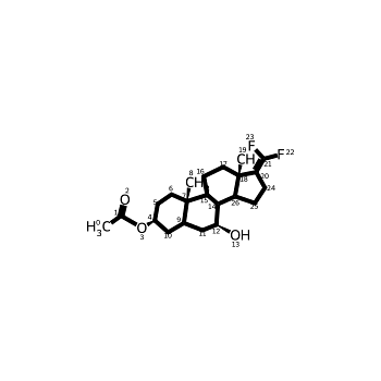 CC(=O)O[C@H]1CC[C@@]2(C)C(C1)C[C@H](O)C1C2CC[C@]2(C)C(=C(F)F)CCC12